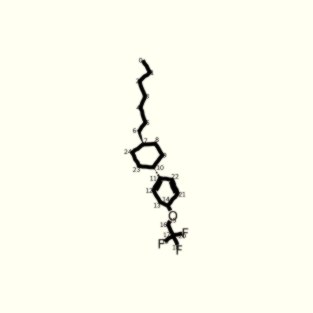 CCCCCCC[C@H]1CC[C@H](C2=CCC(OCC(F)(F)F)C=C2)CC1